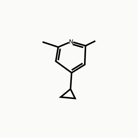 Cc1cc(C2CC2)cc(C)n1